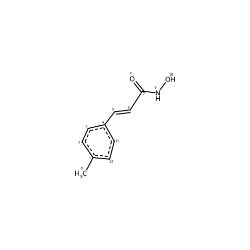 Cc1ccc(/C=C/C(=O)NO)cc1